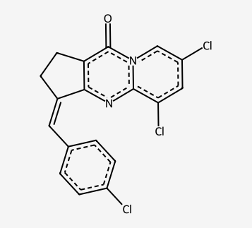 O=c1c2c(nc3c(Cl)cc(Cl)cn13)/C(=C\c1ccc(Cl)cc1)CC2